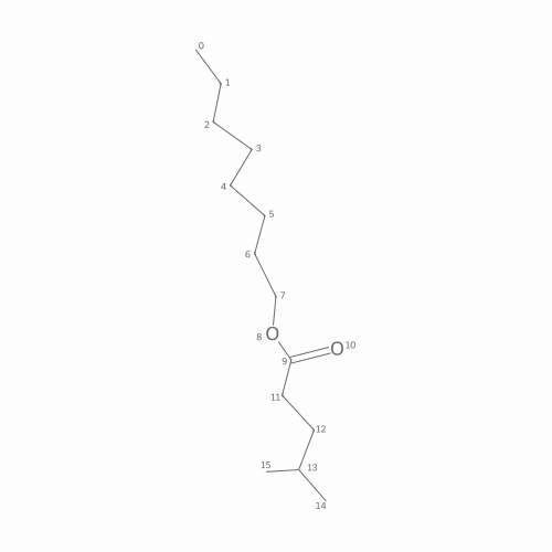 CCCCCCCCOC(=O)CCC(C)C